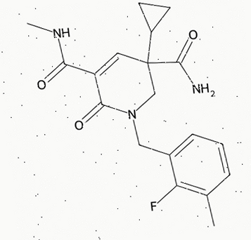 CNC(=O)C1=CC(C(N)=O)(C2CC2)CN(Cc2cccc(C)c2F)C1=O